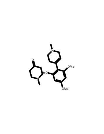 CN1CCC(=O)CC1.COc1cc(OC)c(C2=CCN(C)CC2)c(OC)c1